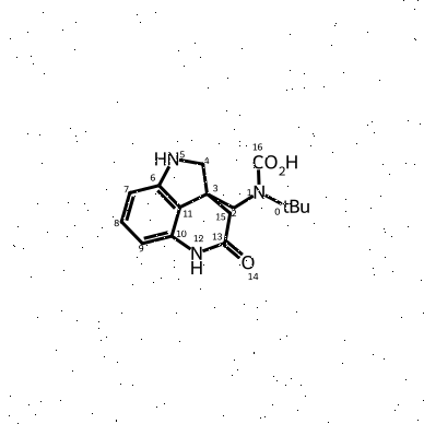 CC(C)(C)N(CC12CNc3cccc(c31)NC(=O)C2)C(=O)O